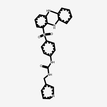 O=C(NCc1cccnc1)Nc1ccc(S(=O)(=O)c2cccc3c2Nc2ccccc2N3)cc1